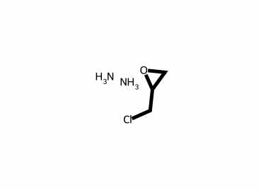 ClCC1CO1.N.N